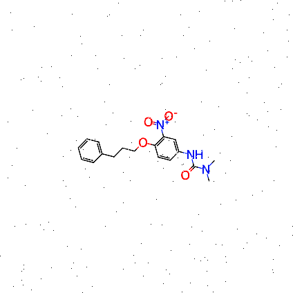 CN(C)C(=O)Nc1ccc(OCCCc2ccccc2)c([N+](=O)[O-])c1